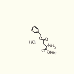 COC(=O)C(N)CC(=O)OCc1ccccc1.Cl